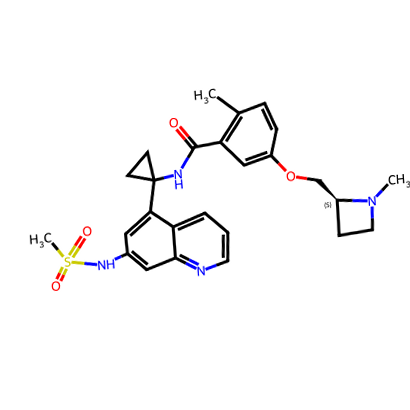 Cc1ccc(OC[C@@H]2CCN2C)cc1C(=O)NC1(c2cc(NS(C)(=O)=O)cc3ncccc23)CC1